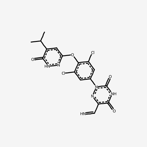 CC(C)c1cc(Oc2c(Cl)cc(-n3nc(C=N)c(=O)[nH]c3=O)cc2Cl)n[nH]c1=O